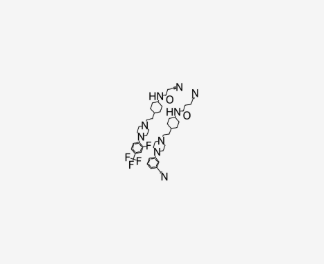 N#CCC(=O)NC1CCC(CCN2CCN(c3ccc(C(F)(F)F)cc3F)CC2)CC1.N#CCCC(=O)NC1CCC(CCN2CCN(c3cccc(C#N)c3)CC2)CC1